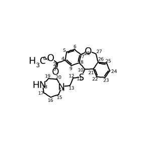 COC(=O)c1ccc2c(c1)C(SCCN1CCCNCC1)c1ccccc1CO2